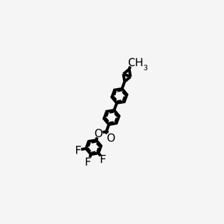 CC1C2C(c3ccc(-c4ccc(C(=O)Oc5cc(F)c(F)c(F)c5)cc4)cc3)C12